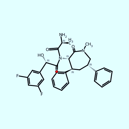 C[C@H](N)C(=O)N(C(=O)[C@@H](O)c1cc(F)cc(F)c1)[C@@H]1C(=O)N(C)C[C@H](c2ccccc2)C[C@H]1c1ccccc1